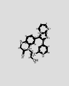 Cc1cc(-c2nc3ncccn3c2-c2ccc3c(c2)N(CCO)C(=O)CO3)ccn1